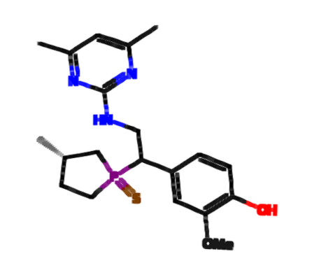 COc1cc(C(CNc2nc(C)cc(C)n2)P2(=S)CC[C@H](C)C2)ccc1O